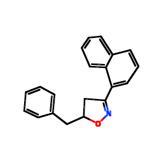 c1ccc(CC2CC(c3cccc4ccccc34)=NO2)cc1